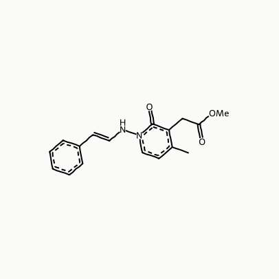 COC(=O)Cc1c(C)ccn(NC=Cc2ccccc2)c1=O